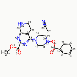 COC(=O)c1nc2c(c(N3CCN(OC(=O)c4ccccc4)[C@@H](CC#N)C3)n1)CCNC2